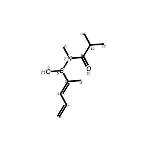 C=C/C=C(\C)B(O)N(C)C(=O)C(C)C